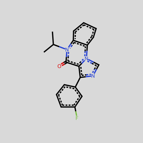 CC(C)n1c(=O)c2c(-c3cccc(F)c3)ncn2c2ccccc21